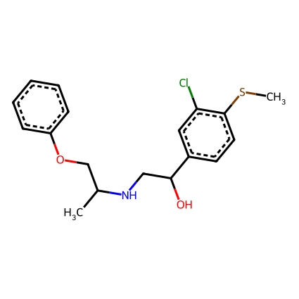 CSc1ccc(C(O)CNC(C)COc2ccccc2)cc1Cl